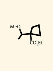 CCOC(=O)C1(C(C)OC)CCC1